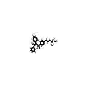 CN(C)C(=O)CCCc1ccc(C(=O)c2c(-c3ccccc3)sc3cc(O)ccc23)cc1